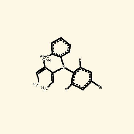 C/C=C(OC)\C(=C/C)N(c1ccccc1OC)c1c(F)cc(Br)cc1F